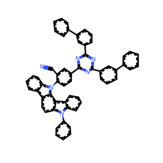 N#Cc1cc(-c2nc(-c3cccc(-c4ccccc4)c3)nc(-c3cccc(-c4ccccc4)c3)n2)ccc1-n1c2ccccc2c2ccc3c(c4ccccc4n3-c3ccccc3)c21